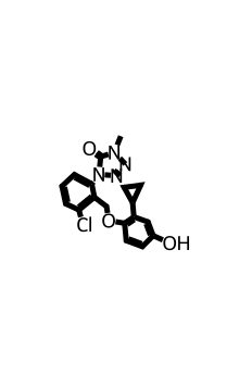 Cn1nnn(-c2cccc(Cl)c2COc2ccc(O)cc2C2CC2)c1=O